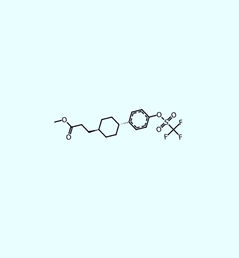 COC(=O)CC[C@H]1CC[C@H](c2ccc(OS(=O)(=O)C(F)(F)F)cc2)CC1